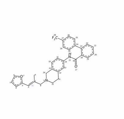 C/C(=C\c1ccco1)CN1CCc2cc(NC(=O)c3ccccc3-c3ccc(C(F)(F)F)cc3)ccc2C1